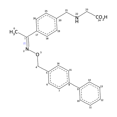 C/C(=N/OCc1ccc(-c2ccccc2)cc1)c1ccc(CNCC(=O)O)cc1